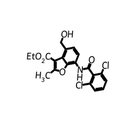 CCOC(=O)c1c(C)oc2c(NC(=O)c3c(Cl)cccc3Cl)ccc(CO)c12